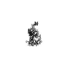 Cc1c[nH]c2c(CN3CCC[C@H](C)C3)cc(C(=O)Nc3cccc(C4(c5nncn5C)CC(CC#N)C4)c3)nc12